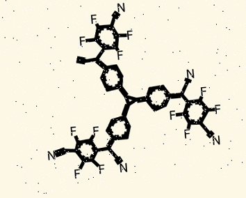 C#CC(c1c(F)c(F)c(C#N)c(F)c1F)=c1ccc(=C2C(=c3ccc(=C(C#N)c4c(F)c(F)c(C#N)c(F)c4F)cc3)C2=c2ccc(=C(C#N)c3c(F)c(F)c(C#N)c(F)c3F)cc2)cc1